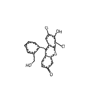 O=c1ccc2c(-c3ccccc3CO)c3cc(Cl)c(O)c(Cl)c3oc-2c1